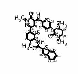 Cc1ccc(-c2cc(Nc3ccc([C@H]4C(=O)N(C)CCN4C)cn3)c(=O)n(C)n2)c(F)c1NC(=O)c1cc2ccccc2s1